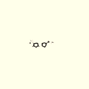 CCNC(=O)c1ccc(Sc2ccc([N+](=O)[O-])c(Cl)c2F)cc1